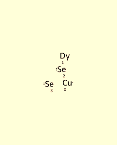 [Cu].[Dy].[Se].[Se]